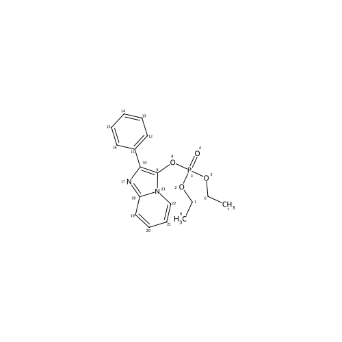 CCOP(=O)(OCC)Oc1c(-c2ccccc2)nc2ccccn12